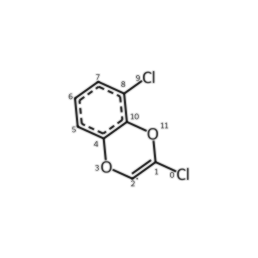 ClC1=[C]Oc2cccc(Cl)c2O1